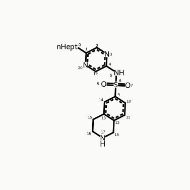 CCCCCCCc1cnc(NS(=O)(=O)c2ccc3c(c2)CCNC3)cn1